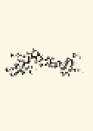 CC[C@@H](c1nc2ccc3cc4c(cc3c2[nH]1)OCc1cc(-c2cnc([C@@H]3CC[C@@H]5CC(C)[C@H](NC(=O)OC)C(=O)N53)[nH]2)ccc1-4)N(CCCOC)C(=O)[C@@H](NC(=O)OC)C(C)C